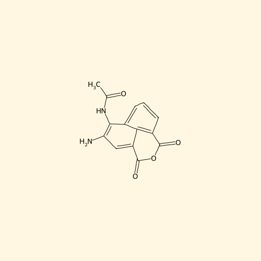 CC(=O)Nc1c(N)cc2c3c(cccc13)C(=O)OC2=O